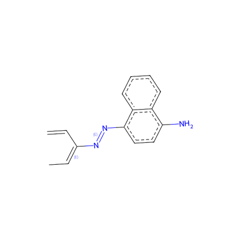 C=CC(=C\C)/N=N/c1ccc(N)c2ccccc12